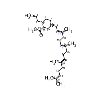 C=CCN1CCN(C/C=C(\C)CC/C=C(\C)CC/C=C(\C)CCC=C(C)C)CC1C(C)=O